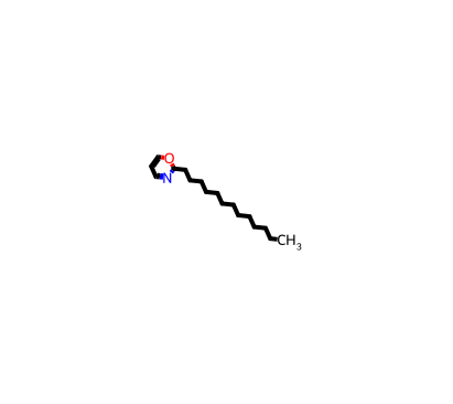 CCCCCCCCCCCCCC1N=CC=CO1